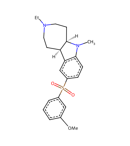 CCN1CC[C@@H]2c3cc(S(=O)(=O)c4cccc(OC)c4)ccc3N(C)[C@@H]2CC1